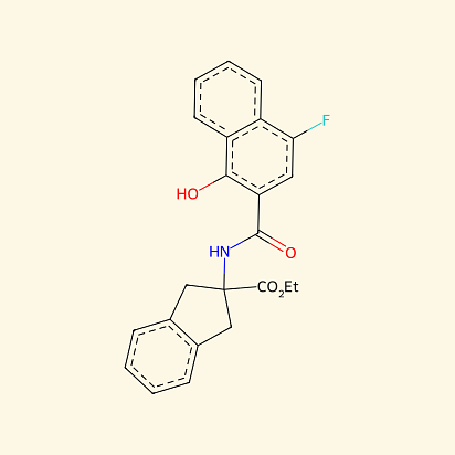 CCOC(=O)C1(NC(=O)c2cc(F)c3ccccc3c2O)Cc2ccccc2C1